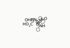 O=C[C@H](CC(=O)O)NC(=O)[C@@H]1CCCN2C(=O)CC[C@H](NC(=O)C3CCCCC3)C(=O)N12